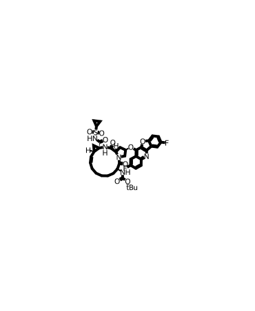 CC(C)(C)OC(=O)N[C@H]1CCCCC/C=C\[C@@H]2C[C@@]2(C(=O)NS(=O)(=O)C2CC2)NC(=O)[C@@H]2C[C@@H](Oc3c4cc(F)ccc4nc4c3oc3ccc(F)cc34)CN2C1=O